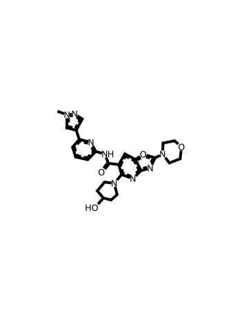 Cn1cc(-c2cccc(NC(=O)c3cc4oc(N5CCOCC5)nc4nc3N3CCC(O)CC3)n2)cn1